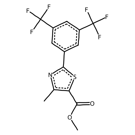 COC(=O)c1sc(-c2cc(C(F)(F)F)cc(C(F)(F)F)c2)nc1C